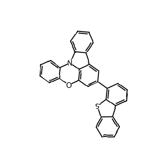 c1ccc2c(c1)Oc1cc(-c3cccc4c3sc3ccccc34)cc3c4ccccc4n-2c13